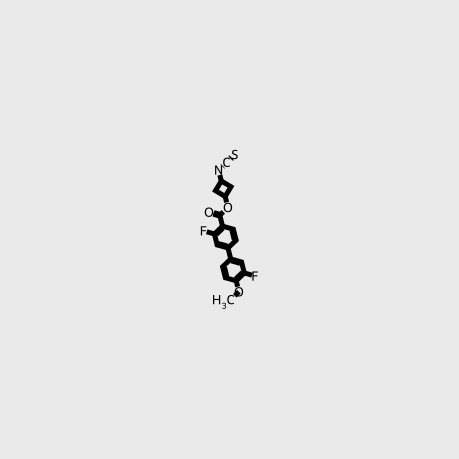 COc1ccc(-c2ccc(C(=O)OC3CC(N=C=S)C3)c(F)c2)cc1F